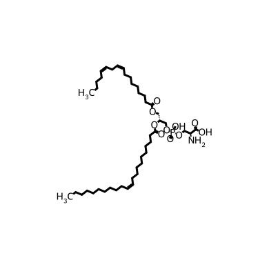 CCCC/C=C\C/C=C\CCCCCCCC(=O)OC[C@H](COP(=O)(O)OC[C@H](N)C(=O)O)OC(=O)CCCCCCCCC/C=C\CCCCCCCCCC